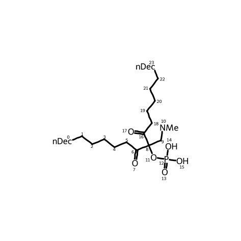 CCCCCCCCCCCCCCCC(=O)C(CNC)(OP(=O)(O)O)C(=O)CCCCCCCCCCCCCCC